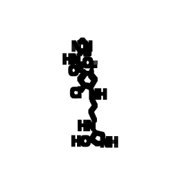 O=S(=O)(Nc1ncns1)c1cc(Cl)c(NCCCCN[C@@H]2CNC[C@H]2O)cc1F